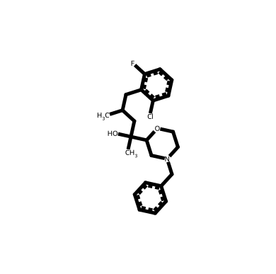 CC(Cc1c(F)cccc1Cl)CC(C)(O)C1CN(Cc2ccccc2)CCO1